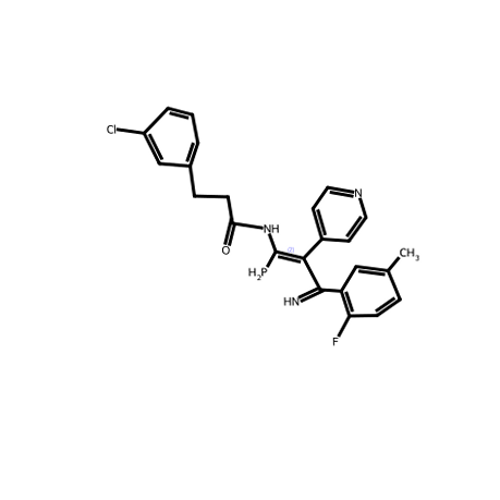 Cc1ccc(F)c(C(=N)/C(=C(\P)NC(=O)CCc2cccc(Cl)c2)c2ccncc2)c1